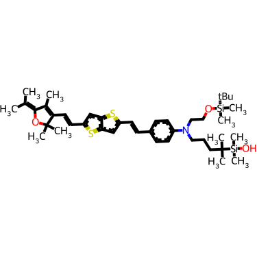 CC(C)=C1OC(C)(C)C(/C=C/c2cc3sc(/C=C/c4ccc(N(CCCC(C)(C)[Si](C)(C)O)CCO[Si](C)(C)C(C)(C)C)cc4)cc3s2)=C1C